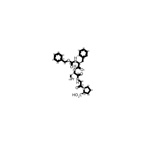 CC(C)C[C@H](NC(=O)[C@H](Cc1ccccc1)NC(=O)OCc1ccccc1)C(=O)NCC(=O)N1CCC[C@H]1C(=O)O